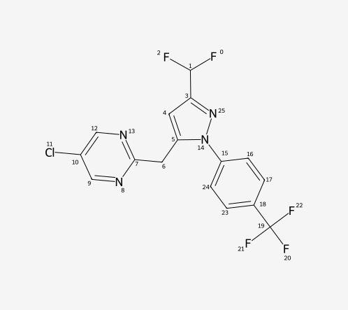 FC(F)c1cc(Cc2ncc(Cl)cn2)n(-c2ccc(C(F)(F)F)cc2)n1